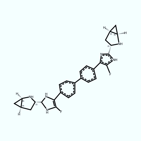 FC1=C(c2ccc(-c3ccc(-c4nc([C@@H]5C[C@H]6C[C@H]6N5)[nH]c4F)cc3)cc2)NC([C@@H]2C[C@H]3C[C@H]3N2)N1